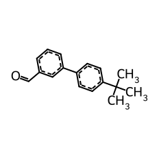 CC(C)(C)c1ccc(-c2cccc(C=O)c2)cc1